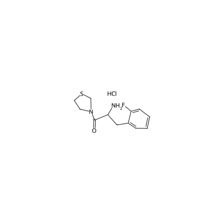 Cl.NC(Cc1ccccc1F)C(=O)N1CCSC1